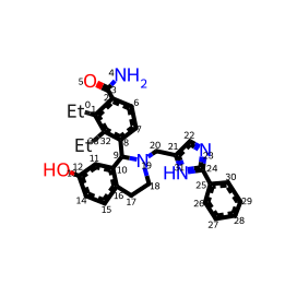 CCc1c(C(N)=O)ccc(C2c3cc(O)ccc3CCN2Cc2cnc(-c3ccccc3)[nH]2)c1CC